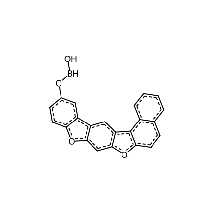 OBOc1ccc2oc3cc4oc5ccc6ccccc6c5c4cc3c2c1